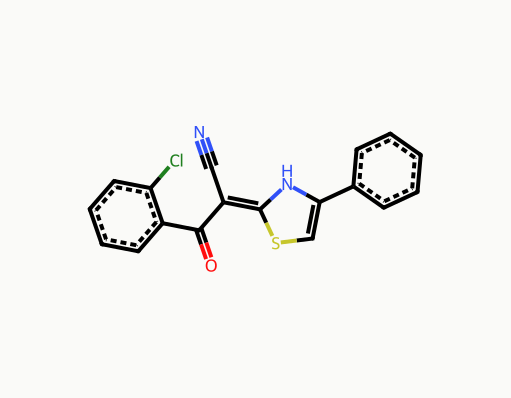 N#CC(C(=O)c1ccccc1Cl)=C1NC(c2ccccc2)=CS1